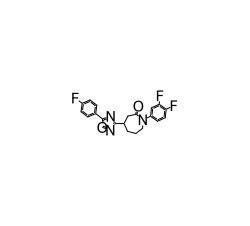 O=C1CC(c2noc(-c3ccc(F)cc3)n2)CCCN1c1ccc(F)c(F)c1